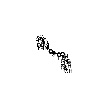 COC(=O)N[C@H](C(=O)N1CC(F)(F)C[C@H]1c1ncc(-c2ccc3oc(-c4ccc5c(ccc6nc([C@@H]7C[Si](C)(C)CN7C(=O)[C@@H](NC(=O)CO)C(C)C)[nH]c65)c4)cc3c2)[nH]1)C(C)C